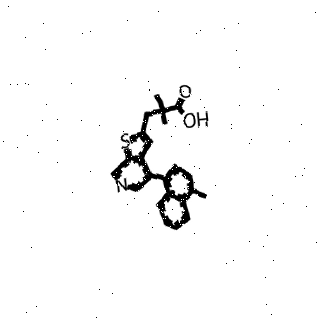 Cc1ccc(-c2cncc3sc(CC(C)(C)C(=O)O)cc23)c2ccccc12